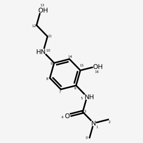 CN(C)C(=O)Nc1ccc(NCCO)cc1O